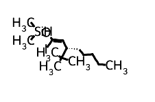 CCCCC[C@@H](C=C(I)O[SiH](C)C)C(C)(C)C